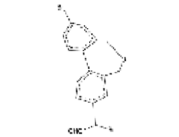 O=CC(Br)c1ccc2c(c1)COCc1cc(Br)ccc1-2